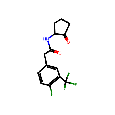 O=C(Cc1ccc(F)c(C(F)(F)F)c1)NC1CCCC1=O